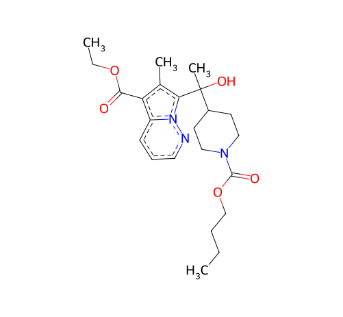 CCCCOC(=O)N1CCC(C(C)(O)c2c(C)c(C(=O)OCC)c3cccnn23)CC1